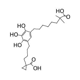 CC(C)(CCCCCCc1cc(CCCCC2(C(=O)O)CC2)c(O)c(O)c1O)C(=O)O